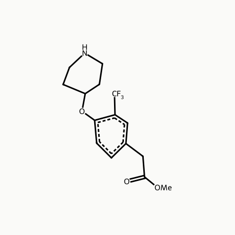 COC(=O)Cc1ccc(OC2CCNCC2)c(C(F)(F)F)c1